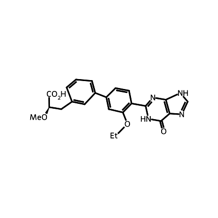 CCOc1cc(-c2cccc(C[C@@H](OC)C(=O)O)c2)ccc1-c1nc2[nH]cnc2c(=O)[nH]1